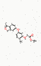 [C-]#[N+]c1ccc(Oc2ccc3c(c2)COB3C)cc1OCC(=O)OC(C)(C)C